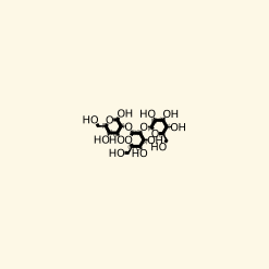 OC[C@H]1O[C@H](O[C@H]2[C@@H](O[C@H]3C(O)O[C@H](CO)[C@@H](O)[C@@H]3O)O[C@H](CO)[C@@H](O)[C@@H]2O)[C@H](O)[C@@H](O)[C@@H]1O